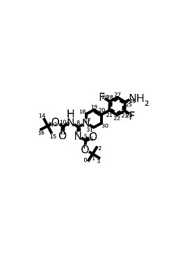 CC(C)(C)OC(=O)/N=C(/NC(=O)OC(C)(C)C)N1CC=C(c2cc(F)c(N)cc2F)CC1